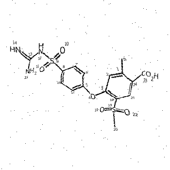 Cc1cc(Oc2ccc(S(=O)(=O)NC(=N)N)cc2)c(S(C)(=O)=O)cc1C(=O)O